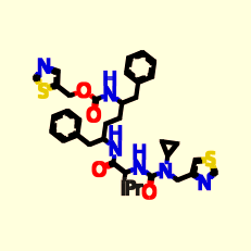 CC(C)C(NC(=O)N(Cc1cscn1)C1CC1)C(=O)NC(CCC(Cc1ccccc1)NC(=O)OCc1cncs1)Cc1ccccc1